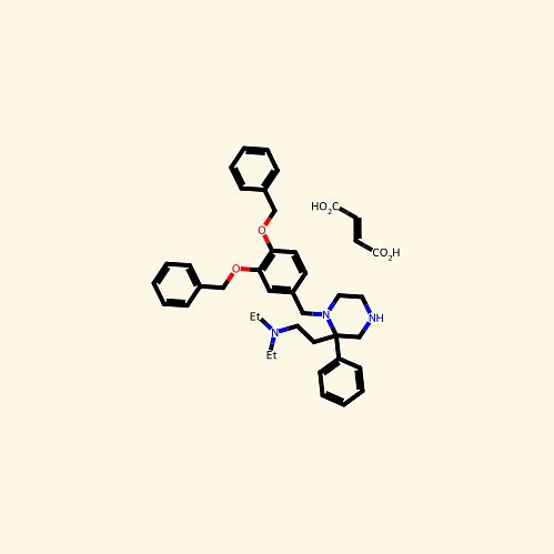 CCN(CC)CCC1(c2ccccc2)CNCCN1Cc1ccc(OCc2ccccc2)c(OCc2ccccc2)c1.O=C(O)C=CC(=O)O